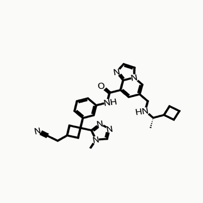 C[C@H](NCc1cc(C(=O)Nc2cccc(C3(c4nncn4C)CC(CC#N)C3)c2)c2nccn2c1)C1CCC1